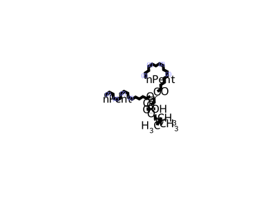 CCCCC/C=C\C/C=C\C/C=C\C/C=C\CCCC(=O)OC[C@H](COP(=O)(O)OCC[N+](C)(C)C)OC(=O)CCC/C=C\C/C=C\C/C=C\C/C=C\CCCCC